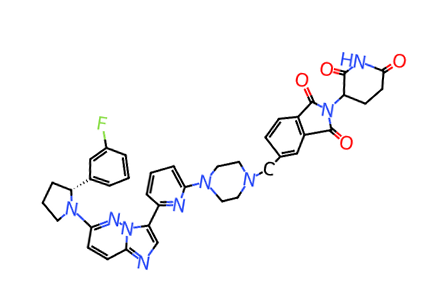 O=C1CCC(N2C(=O)c3ccc(CN4CCN(c5cccc(-c6cnc7ccc(N8CCC[C@@H]8c8cccc(F)c8)nn67)n5)CC4)cc3C2=O)C(=O)N1